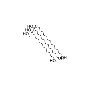 O=C(O)CCCCCCCCCCCCCO.O=C(O)CCCCCCCCCCCCO.O=C(O)CCCCCCCCCCCO